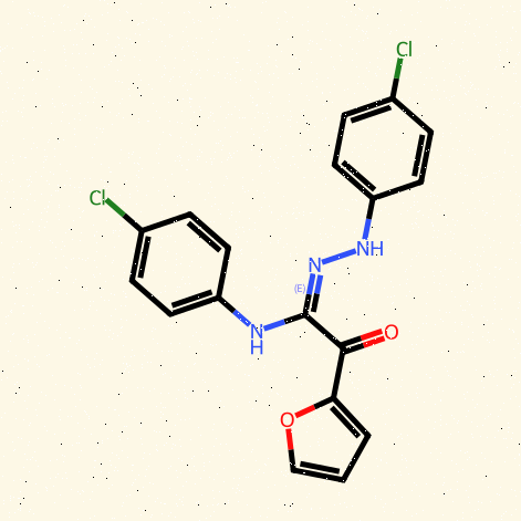 O=C(/C(=N\Nc1ccc(Cl)cc1)Nc1ccc(Cl)cc1)c1ccco1